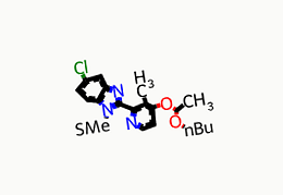 CCCCOC(C)Oc1ccnc(-c2nc3cc(Cl)ccc3n2SC)c1C